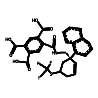 O=C(O)c1cc(C(=O)O)c(C(=O)NC[C@]2(c3cccc4ccccc34)C=CCC(SC(F)(F)F)C2)cc1C(=O)O